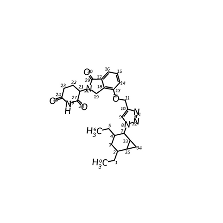 CCC1CC(CC)C(n2cc(COc3cccc4c3CN(C3CCC(=O)NC3=O)C4=O)nn2)C2CC12